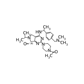 CC(=O)N1CCN(c2nc(NC(C)c3ccc(CN(C)C)cc3)c3c(n2)[C@H](C=O)N(C(C)C)C3)CC1